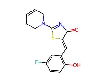 O=C1N=C(N2CC=CCC2)S/C1=C\c1cc(F)ccc1O